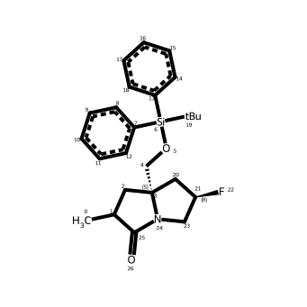 CC1C[C@@]2(CO[Si](c3ccccc3)(c3ccccc3)C(C)(C)C)C[C@@H](F)CN2C1=O